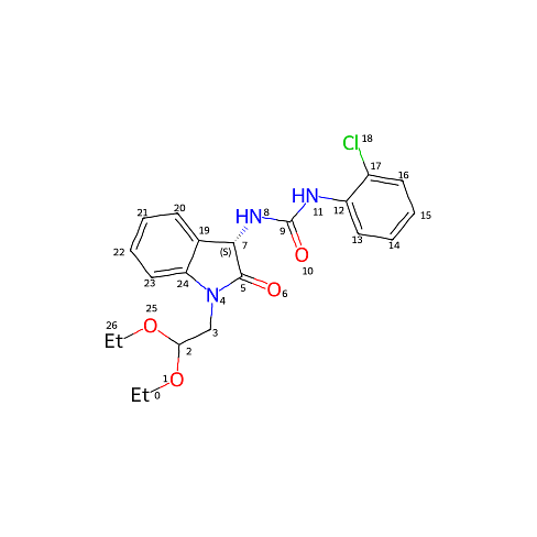 CCOC(CN1C(=O)[C@@H](NC(=O)Nc2ccccc2Cl)c2ccccc21)OCC